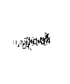 CC(C)c1nc(N2CCN(c3ccn4ncc(Br)c4n3)CC2)no1